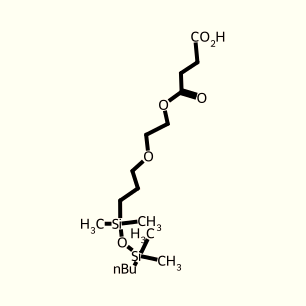 CCCC[Si](C)(C)O[Si](C)(C)CCCOCCOC(=O)CCC(=O)O